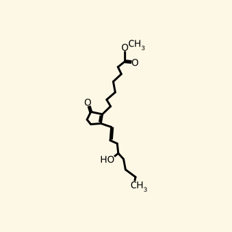 CCCCC(O)CC=CC1=C(CCCCCCC(=O)OC)C(=O)CC1